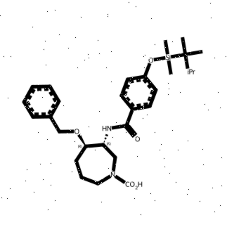 CC(C)C(C)(C)[Si](C)(C)Oc1ccc(C(=O)N[C@@H]2CN(C(=O)O)CCC[C@H]2OCc2ccccc2)cc1